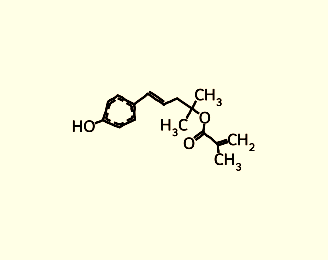 C=C(C)C(=O)OC(C)(C)CC=Cc1ccc(O)cc1